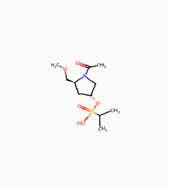 COC[C@@H]1C[C@@H](OP(=O)(O)C(C)C)CN1C(C)=O